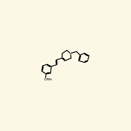 COc1cccc(/C=C/C2=CCN(Cc3ccccc3)CC2)c1